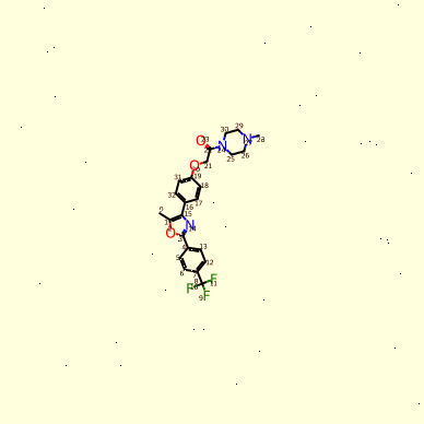 Cc1oc(-c2ccc(C(F)(F)F)cc2)nc1-c1ccc(OCC(=O)N2CCN(C)CC2)cc1